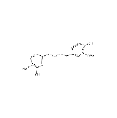 COc1cc(CCCCc2ccc(O)c(O)c2)ccc1O